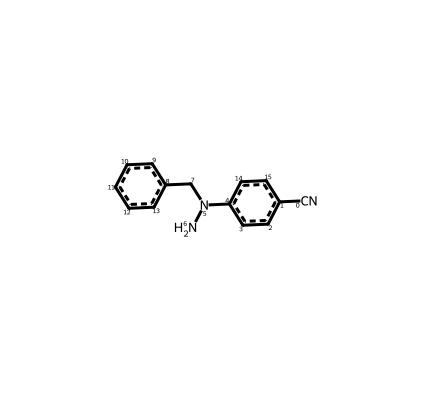 N#Cc1ccc(N(N)Cc2ccccc2)cc1